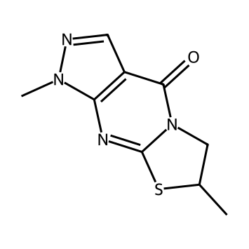 CC1Cn2c(nc3c(cnn3C)c2=O)S1